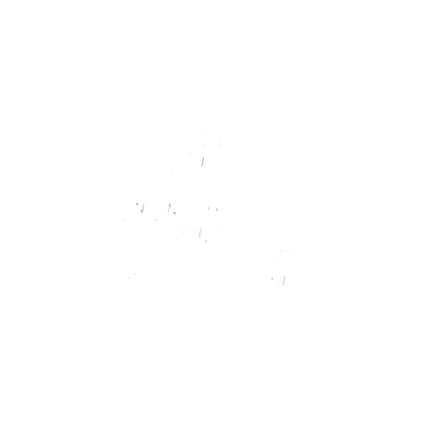 Cc1c(Oc2cccc(CCC(=O)O)c2)c2cc(OC(F)(F)F)ccc2n1-c1noc2cc(Cl)ccc12